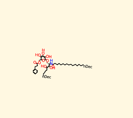 CCCCCCCCCCCCCCCCCCCCCCCCCC(=O)N[C@@H](CO[C@H]1O[C@H](COC(=O)CCc2ccccc2)[C@H](O)[C@H](O)[C@H]1O)[C@H](O)[C@H](O)CCCCCCCCCCCCCC